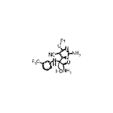 CCOc1nc(N)nc([C@@](CO)(Nc2cccc(C(F)(F)F)c2)C(N)=O)c1C#N